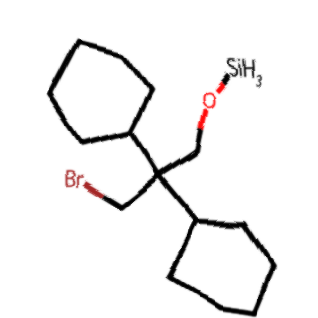 [SiH3]OCC(CBr)(C1CCCCC1)C1CCCCC1